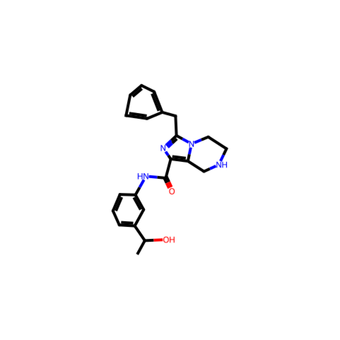 CC(O)c1cccc(NC(=O)c2nc(Cc3ccccc3)n3c2CNCC3)c1